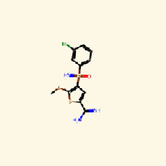 CSc1sc(C(=N)N)cc1S(=N)(=O)c1cccc(Br)c1